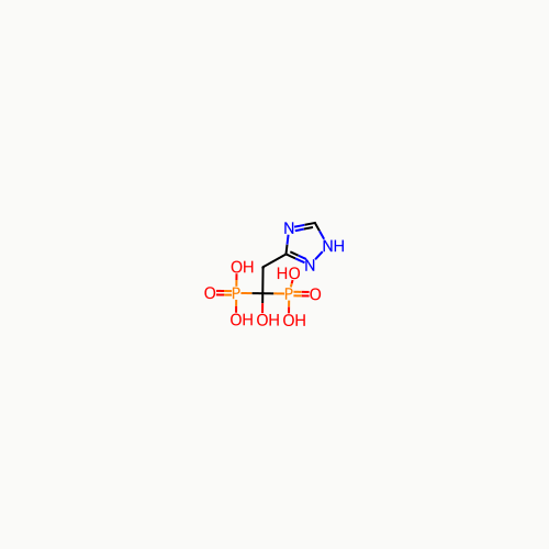 O=P(O)(O)C(O)(Cc1nc[nH]n1)P(=O)(O)O